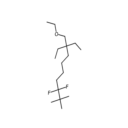 CCOCC(CC)(CC)CCCCC(F)(F)C(C)(C)C